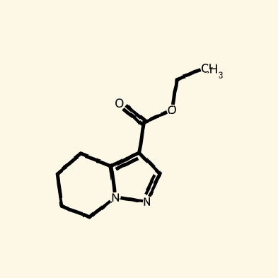 CCOC(=O)c1cnn2c1CCCC2